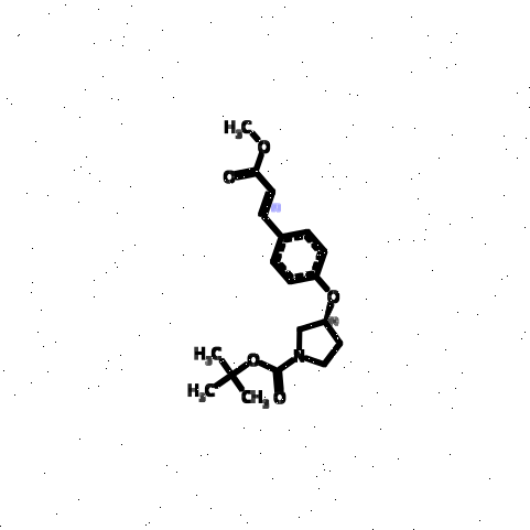 COC(=O)/C=C/c1ccc(O[C@H]2CCN(C(=O)OC(C)(C)C)C2)cc1